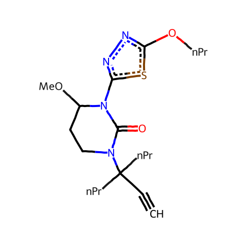 C#CC(CCC)(CCC)N1CCC(OC)N(c2nnc(OCCC)s2)C1=O